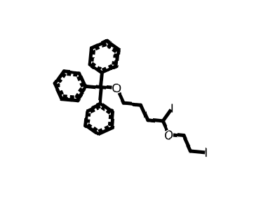 ICCOC(I)CCCOC(c1ccccc1)(c1ccccc1)c1ccccc1